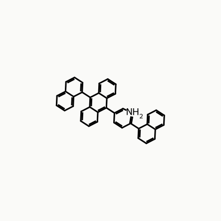 C=C(/C=C\C(=C/N)c1c2ccccc2c(-c2cccc3ccccc23)c2ccccc12)c1cccc2ccccc12